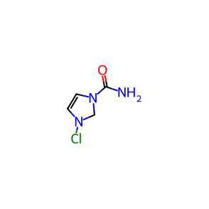 NC(=O)N1C=CN(Cl)C1